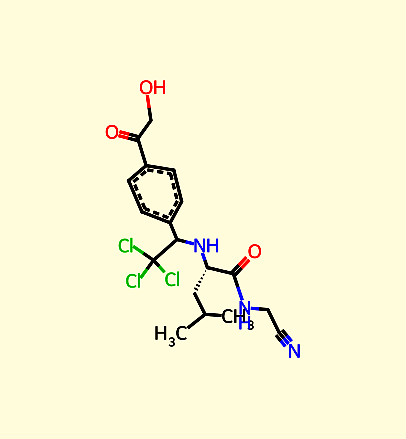 CC(C)C[C@H](NC(c1ccc(C(=O)CO)cc1)C(Cl)(Cl)Cl)C(=O)NCC#N